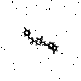 Cc1ccc(COC(=O)N2CC[C@H](CNc3ncc4cc[nH]c4n3)[C@H](F)C2)cc1